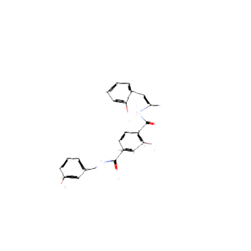 O=C(O)C(=Cc1ccccc1O)NC(=O)c1ccc(C(=O)NCc2cccc(O)c2)cc1Br